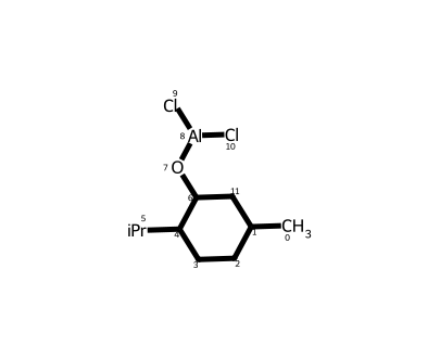 CC1CCC(C(C)C)C([O][Al]([Cl])[Cl])C1